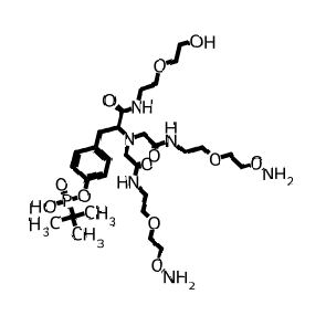 CC(C)(C)P(=O)(O)Oc1ccc(CC(C(=O)NCCOCCO)N(CC(=O)NCCOCCON)CC(=O)NCCOCCON)cc1